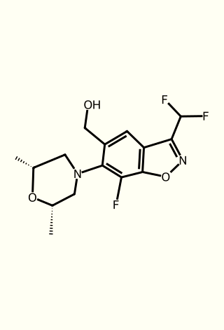 C[C@@H]1CN(c2c(CO)cc3c(C(F)F)noc3c2F)C[C@H](C)O1